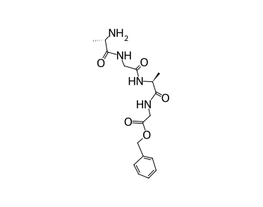 C[C@H](N)C(=O)NCC(=O)N[C@@H](C)C(=O)NCC(=O)OCc1ccccc1